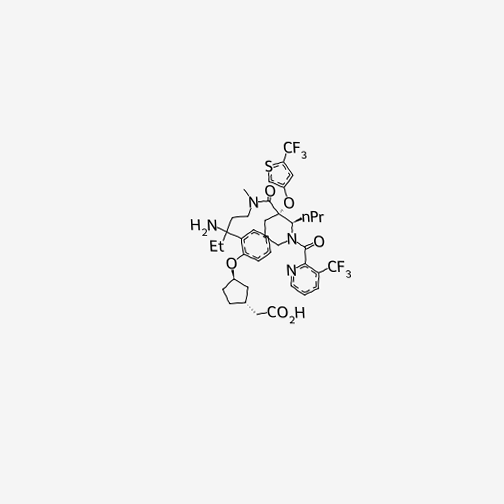 CCC[C@H]1N(C(=O)c2ncccc2C(F)(F)F)CCC[C@@]1(Oc1csc(C(F)(F)F)c1)C(=O)N(C)CCC(N)(CC)c1ccccc1O[C@@H]1CC[C@@H](CC(=O)O)C1